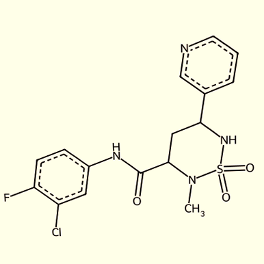 CN1C(C(=O)Nc2ccc(F)c(Cl)c2)CC(c2cccnc2)NS1(=O)=O